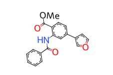 COC(=O)c1ccc(-c2ccoc2)cc1NC(=O)c1ccccc1